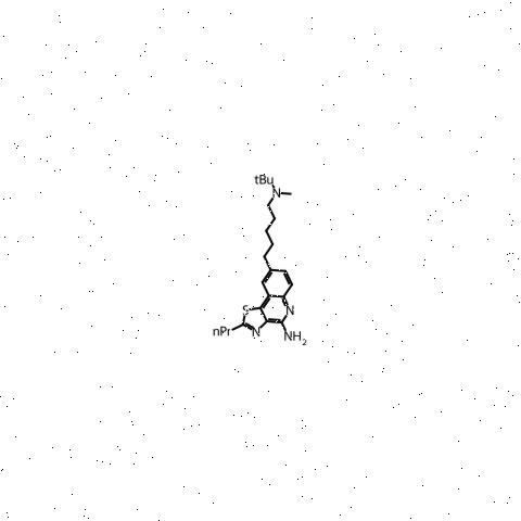 CCCc1nc2c(N)nc3ccc(CCCCCN(C)C(C)(C)C)cc3c2s1